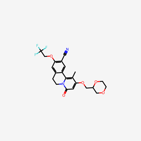 Cc1c(OCC2COCCO2)cc(=O)n2c1-c1cc(C#N)c(OCC(F)(F)F)cc1CC2